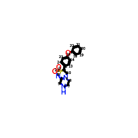 O=S1(=O)N=C2CNCCN2CC1c1ccc(Oc2ccccc2)cc1